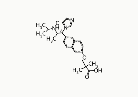 CC(C)N(C)C(C)C(c1ccc2cc(OCC(C)(C)C(=O)O)ccc2c1)n1ccnc1